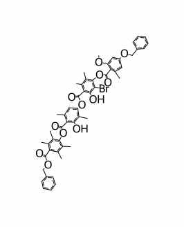 COc1cc(OCc2ccccc2)cc(C)c1C(=O)Oc1c(C)c(C)c(C(=O)Oc2cc(C)c(C(=O)Oc3c(C)c(C)c(C(=O)OCc4ccccc4)c(C)c3C)c(O)c2C)c(O)c1Br